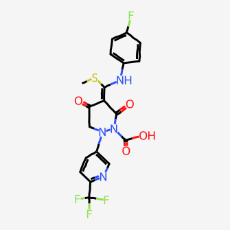 CS/C(Nc1ccc(F)cc1)=C1\C(=O)CN(c2ccc(C(F)(F)F)nc2)N(C(=O)O)C1=O